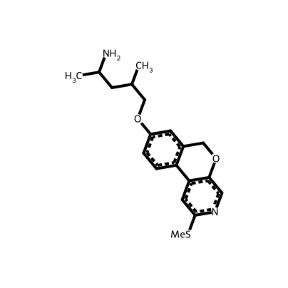 CSc1cc2c(cn1)OCc1cc(OCC(C)CC(C)N)ccc1-2